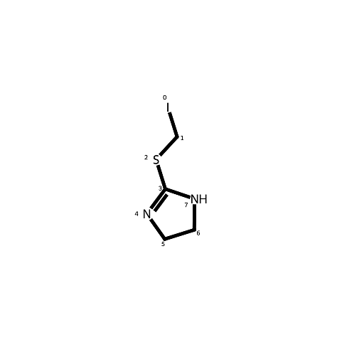 ICSC1=NCCN1